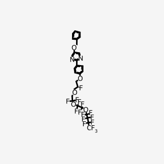 F[C@H](COCC(F)(F)OC(F)(F)C(F)(F)OC(F)(F)C(F)(F)C(F)(F)C(F)(F)F)COc1ccc(-c2ncc(OCc3ccccc3)cn2)cc1